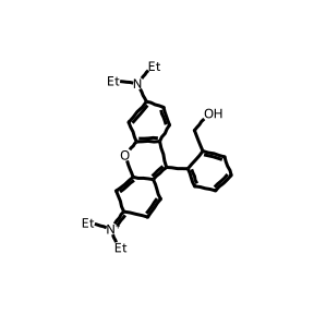 CCN(CC)c1ccc2c(-c3ccccc3CO)c3ccc(=[N+](CC)CC)cc-3oc2c1